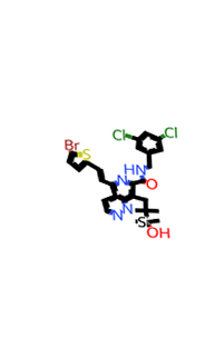 CC(C)(Cc1c(C(=O)NCc2cc(Cl)cc(Cl)c2)nc(C=Cc2ccc(Br)s2)c2ccnnc12)[Si](C)(C)O